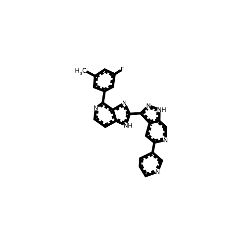 Cc1cc(F)cc(-c2nccc3[nH]c(-c4n[nH]c5cnc(-c6cccnc6)cc45)nc23)c1